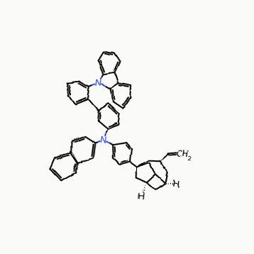 C=C[C@H]1C[C@H]2C[C@H]3CC(c4ccc(N(c5cccc(-c6ccccc6-n6c7ccccc7c7ccccc76)c5)c5ccc6ccccc6c5)cc4)(CC23)C1